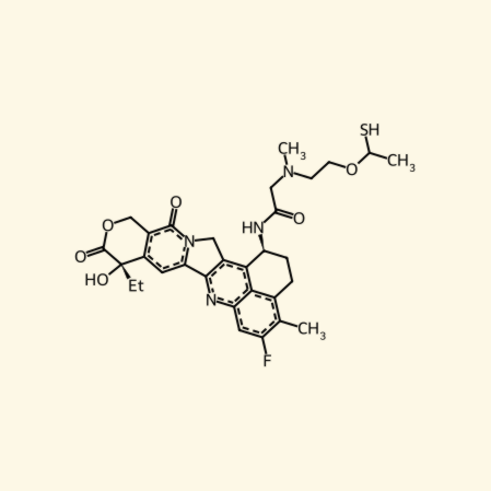 CC[C@@]1(O)C(=O)OCc2c1cc1n(c2=O)Cc2c-1nc1cc(F)c(C)c3c1c2[C@@H](NC(=O)CN(C)CCOC(C)S)CC3